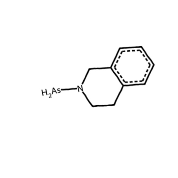 [AsH2]N1CCc2ccccc2C1